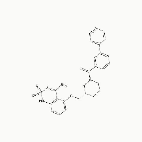 NC1=NS(=O)(=O)Nc2cccc(OC[C@H]3CCCN(C(=O)c4cccc(-c5ccncc5)c4)C3)c21